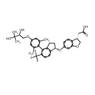 Cc1cc(OCC(O)C(C)(C)O)cc(C)c1-c1c(C(F)(F)F)ccc2c1CC[C@H]2Oc1ccc2c(c1)OC[C@H]2CC(=O)O